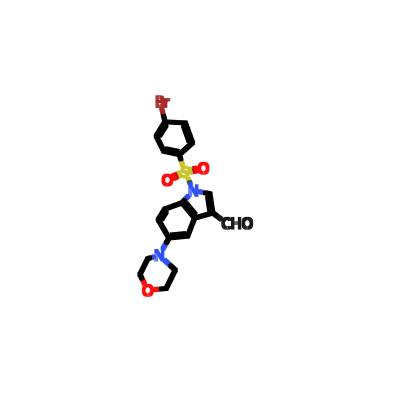 O=Cc1cn(S(=O)(=O)c2ccc(Br)cc2)c2ccc(N3CCOCC3)cc12